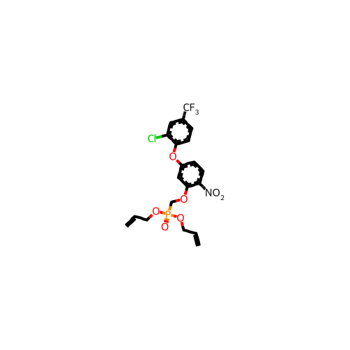 C=CCOP(=O)(COc1cc(Oc2ccc(C(F)(F)F)cc2Cl)ccc1[N+](=O)[O-])OCC=C